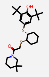 CC1(C)CCCN(C(=O)CS[C@@H]2CCCC[C@H]2Sc2cc(C(C)(C)C)c(O)c(C(C)(C)C)c2)C1